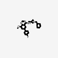 COc1cc(-c2ccc(F)cc2)cc2c(NCC3CN(Cc4ccccc4)C3)ncnc12